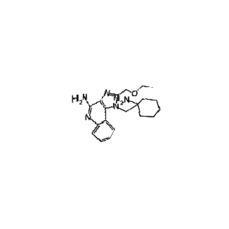 CCOCc1nc2c(N)nc3ccccc3c2n1CC1(N)CCCCC1